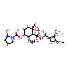 COC1C(OC(=O)N2CCCC2I)CCC2(CO2)C1C(C)(C)OCC1CC(C)[C@@H]1C